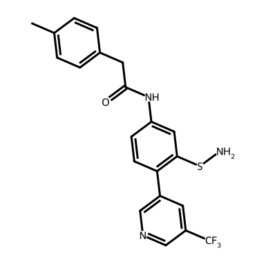 Cc1ccc(CC(=O)Nc2ccc(-c3cncc(C(F)(F)F)c3)c(SN)c2)cc1